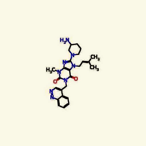 CC(C)=CCn1c(N2CCCC(N)C2)nc2c1c(=O)n(Cc1cnnc3ccccc13)c(=O)n2C